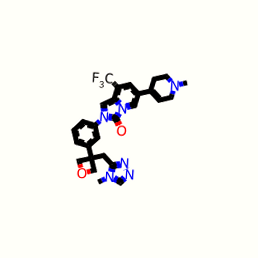 CN1CC=C(c2cc(C(F)(F)F)c3cn(-c4cccc(C5(Cc6nncn6C)COC5)c4)c(=O)n3c2)CC1